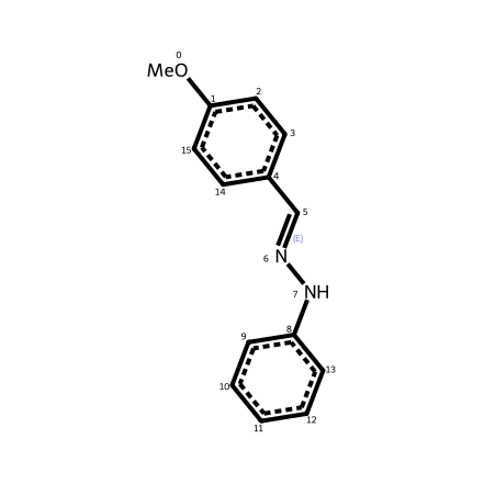 COc1ccc(/C=N/Nc2ccccc2)cc1